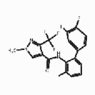 Cn1cc(C(=O)Nc2c(F)cccc2-c2ccc(F)c(F)c2)c(C(F)(F)F)n1